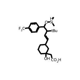 C[SiH](C)OC(c1ccc(C(F)(F)F)cc1)C(C=CC1CCCC(O)(CC(=O)O)C1)C(C)(C)C